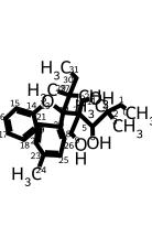 CCC(C)(C)C(O)C(CO)(CO)C(Oc1ccccc1)(c1ccc(C)cc1)C(C)(C)CC